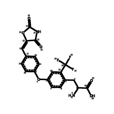 NC(Cc1ccc(Oc2ccc(C=C3OC(=O)NC3=O)cc2)cc1C(F)(F)F)C(=O)O